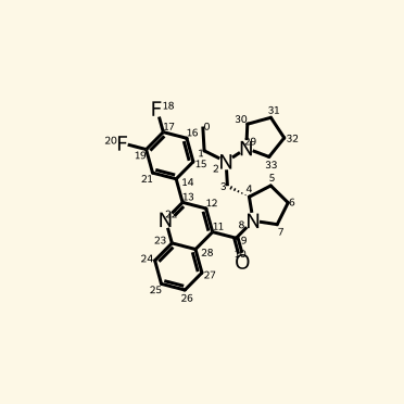 CCN(C[C@@H]1CCCN1C(=O)c1cc(-c2ccc(F)c(F)c2)nc2ccccc12)N1CCCC1